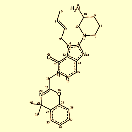 CC=CCn1c(N2CCCC(N)C2)nc2cnn(CC3=NC(C)(C)c4ccccc4O3)c(=O)c21